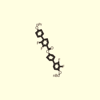 CCCCOc1ccc(-c2ccc(OC(=O)c3ccc(-c4ccc(OCCC)cc4)c(F)c3F)cc2)c(F)c1F